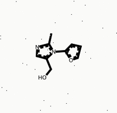 Cc1ncc(CO)n1-c1ccco1